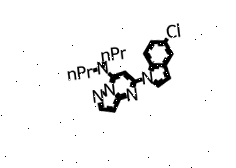 CCCN(CCC)c1cc(-n2ccc3cc(Cl)ccc32)nc2ccnn12